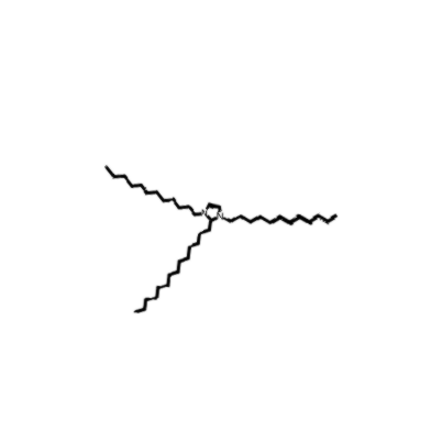 CCCCCCCCCCCCCCC1N(CCCCCCCCCCCC)C=CN1CCCCCCCCCCCC